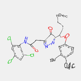 CCCCCCCCCCCCC(Oc1ccc(OC(C)=O)c(C(C)(C)C)c1)C1=NN=C(CC(=O)Nc2c(Cl)cc(Cl)cc2Cl)C1=O